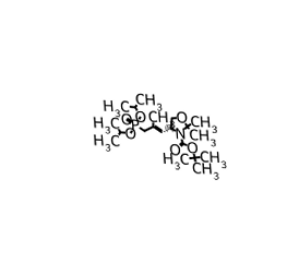 CC(=C[C@@H]1COC(C)(C)N1C(=O)OC(C)(C)C)CP(=O)(OC(C)C)OC(C)C